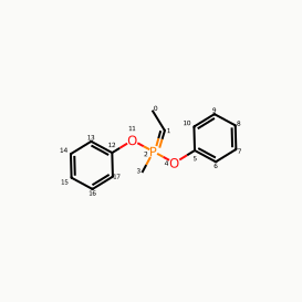 CC=P(C)(Oc1ccccc1)Oc1ccccc1